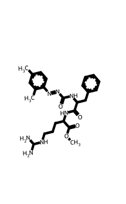 COC(=O)C(CCCNC(N)N)NC(=O)C(Cc1ccccc1)NC(=O)/N=N/c1ccc(C)cc1C